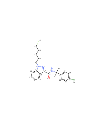 CC(C)(NC(=O)c1nn(CCCCCF)c2ccccc12)c1ccc(Cl)cc1